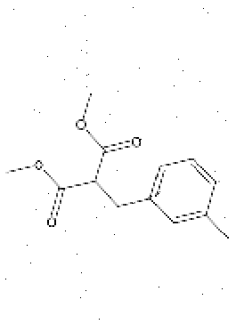 COC(=O)C(Cc1cc[c]c(C)c1)C(=O)OC